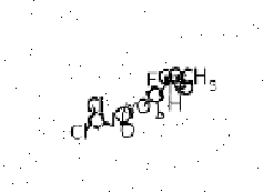 CS(=O)(=O)NC(=O)c1cc(C2CC2)c(OC[C@H]2CCN(Cc3cc(Cl)cc(Cl)c3)C(=O)C2)cc1F